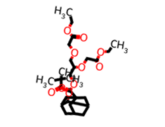 CCOC(=O)COCC(COC(=O)C12CC3CC(C1)C(OC(=O)C(C)(C)C)C(C3)C2)OCC(=O)OCC